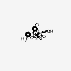 Cn1c(=O)n(CCCO)c(=O)c2c1nc(Oc1ccccc1P)n2Cc1ccc(Cl)cc1